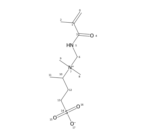 C=C(C)C(=O)NC[N+](C)(C)C(C)CCS(=O)(=O)[O-]